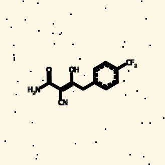 N#C/C(C(N)=O)=C(/O)Cc1ccc(C(F)(F)F)cc1